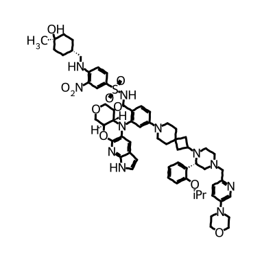 CC(C)Oc1ccccc1[C@H]1CN(Cc2ccc(N3CCOCC3)cn2)CCN1C1CC2(CCN(c3ccc(C(=O)NS(=O)(=O)c4ccc(NC[C@H]5CC[C@](C)(O)CC5)c([N+](=O)[O-])c4)c(N4c5cc6cc[nH]c6nc5O[C@H]5COCC[C@@H]54)c3)CC2)C1